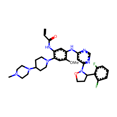 C=CC(=O)Nc1cc(Nc2cc(N3OCCC3c3c(F)cccc3F)ncn2)c(OC)cc1N1CCC(N2CCN(C)CC2)CC1